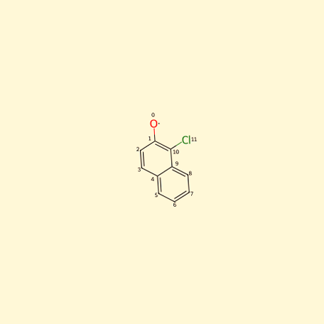 [O]c1ccc2ccccc2c1Cl